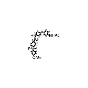 CCC(C)(c1ccc(OC)cc1)c1ccc(OC(=O)Nc2ccc(Oc3ccc(NC(C)=O)cc3)cc2)cc1